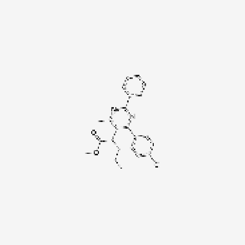 CCCC(C(=O)OC)c1c(C)nc(-c2ccccc2)nc1-c1ccc(Cl)cc1